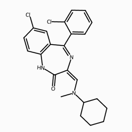 CN(C=C1N=C(c2ccccc2Cl)c2cc(Cl)ccc2NC1=O)C1CCCCC1